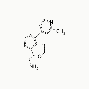 Cc1cc(-c2cccc3c2CCO[C@@H]3CN)ccn1